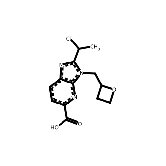 CC(Cl)c1nc2ccc(C(=O)O)nc2n1CC1CCO1